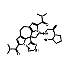 C=C(CN[C@@H](C)CC1(c2nn[nH]n2)c2sc(C(=O)N(C)C)cc2CCc2cc(C(=O)N(C)C)sc21)N1CCCC1C#N